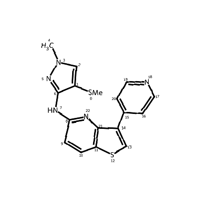 CSc1cn(C)nc1Nc1ccc2scc(-c3ccncc3)c2n1